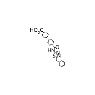 O=C(Nc1nnc(Cc2ccccc2)s1)c1ccc([C@H]2CC[C@H](C(=O)O)CC2)cc1